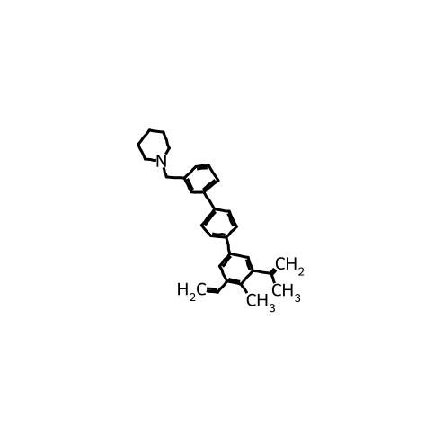 C=Cc1cc(-c2ccc(-c3cccc(CN4CCCCC4)c3)cc2)cc(C(=C)C)c1C